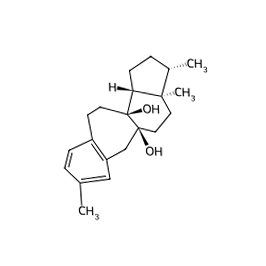 Cc1ccc2c(c1)C[C@@]1(O)CC[C@@]3(C)[C@@H](CC[C@@H]3C)[C@@]1(O)CC2